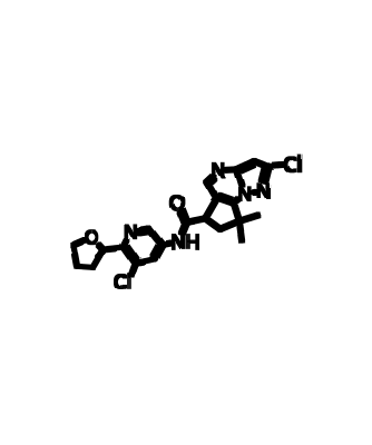 CC1(C)CC(C(=O)Nc2cnc(C3CCCO3)c(Cl)c2)c2cnc3cc(Cl)nn3c21